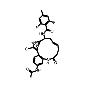 CC(=O)Nc1ccc2c(c1)NC(=O)CC/C=C/CC(NC(=O)c1c(F)cc(C)cc1F)c1nc-2c(Cl)[nH]1